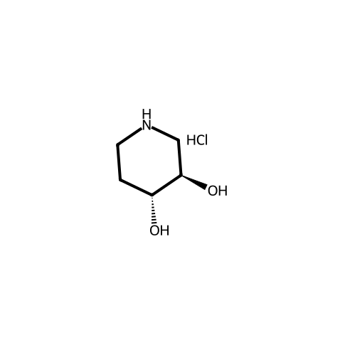 Cl.O[C@@H]1CCNC[C@H]1O